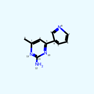 Cc1cc(-c2cccnc2)nc(N)n1